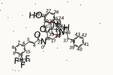 CN(C(=O)/C=C/c1cccc(C(F)(F)F)c1)C1CC[C@@]2(N(C)C)[C@H]3Cc4ccc(O)c5c4[C@@]2(CCN3CCc2ccccc2)C1O5